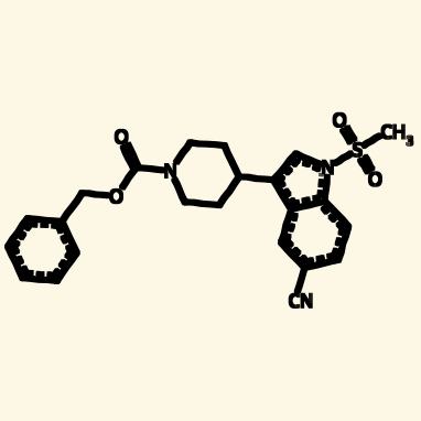 CS(=O)(=O)n1cc(C2CCN(C(=O)OCc3ccccc3)CC2)c2cc(C#N)ccc21